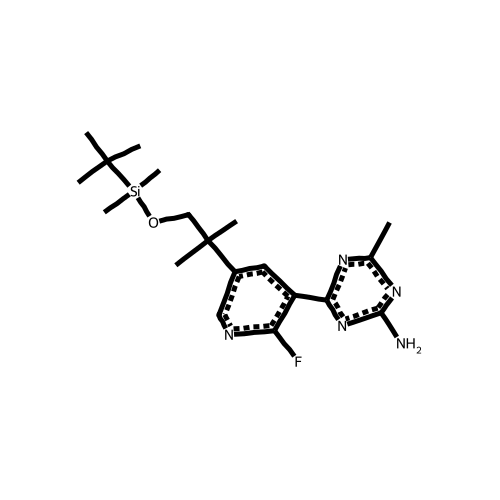 Cc1nc(N)nc(-c2cc(C(C)(C)CO[Si](C)(C)C(C)(C)C)cnc2F)n1